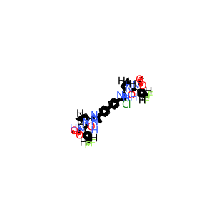 COC(=O)NC(C(=O)N1[C@@H]2C[C@@H]2C[C@H]1c1nc(-c2ccc(-c3ccc(-c4nc([C@@H]5C[C@H]6C[C@H]6N5C(=O)C(NC(=O)OC)[C@@H]5C[C@@H]6[C@H](C5)C6(F)F)[nH]c4Cl)cc3)cc2)c(C)[nH]1)[C@@H]1C[C@@H]2[C@H](C1)C2(F)F